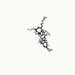 CC1=C2C[C@H]3C(CC=C4C[C@@H](O)CC[C@@]43C)[C@@H]2CC[C@@]2(C1)O[C@@H]1C[C@H](C)CN(CCOCCO)[C@H]1[C@H]2C